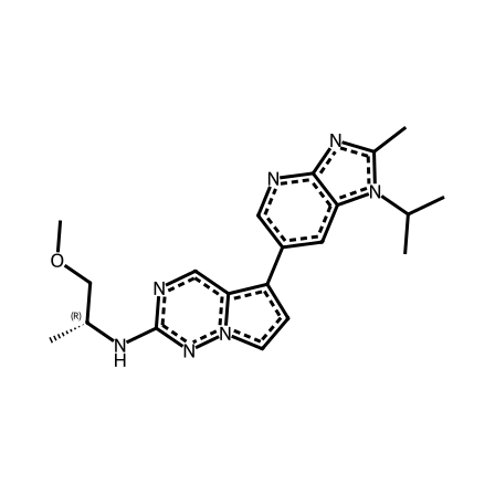 COC[C@@H](C)Nc1ncc2c(-c3cnc4nc(C)n(C(C)C)c4c3)ccn2n1